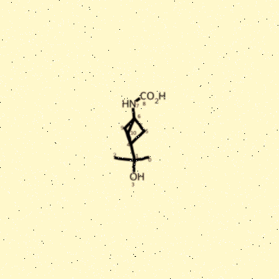 CC(C)(O)C12CC(NC(=O)O)(C1)C2